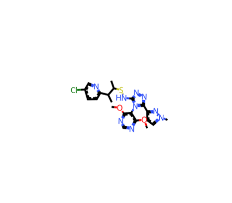 COc1ncnc(OC)c1-n1c(NSC(C)C(C)c2ccc(Cl)cn2)nnc1-c1ccn(C)n1